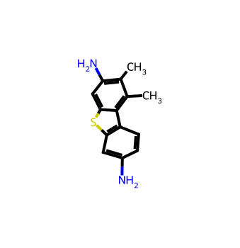 Cc1c(N)cc2sc3cc(N)ccc3c2c1C